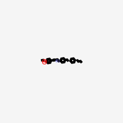 CCCC[C@H]1CC[C@H](CCC2CCC(/C=C/C#Cc3ccc(OCC)cc3)CC2)CC1